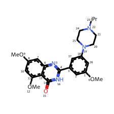 COc1cc(-c2nc3cc(OC)cc(OC)c3c(=O)[nH]2)cc(N2CCN(C(C)C)CC2)c1